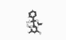 CCOC(O)(c1ccccc1)c1cc(Br)cc(C)[n+]1[O-]